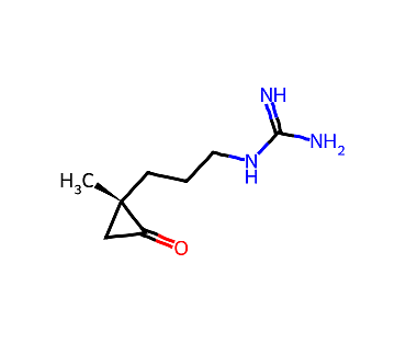 C[C@]1(CCCNC(=N)N)CC1=O